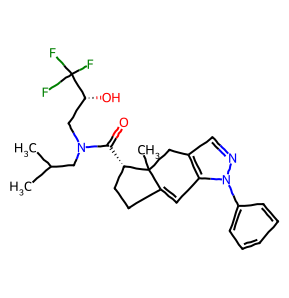 CC(C)CN(C[C@@H](O)C(F)(F)F)C(=O)[C@H]1CCC2=Cc3c(cnn3-c3ccccc3)CC21C